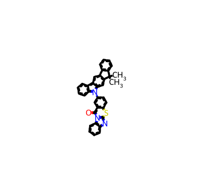 CC1(C)c2ccccc2-c2cc3c4ccccc4n(-c4ccc5sc6nc7ccccc7n6c(=O)c5c4)c3cc21